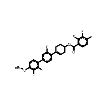 CCCCOc1ccc(-c2ccc(C3=CCC(OC(=O)c4ccc(C)c(F)c4F)CC3)c(F)c2)c(F)c1F